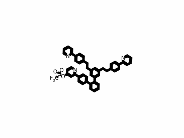 O=S(=O)(Oc1ccnc(-c2ccc(-c3ccccc3-c3cc(CCc4ccc(-c5ccccn5)cc4)cc(CCc4ccc(-c5ccccn5)cc4)c3)cc2)c1)C(F)(F)F